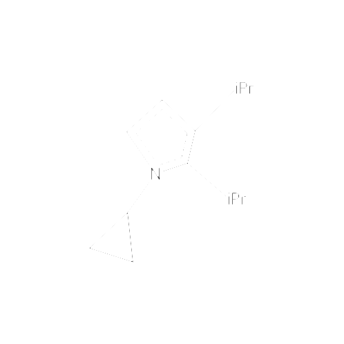 CC(C)c1ccn(C2CC2)c1C(C)C